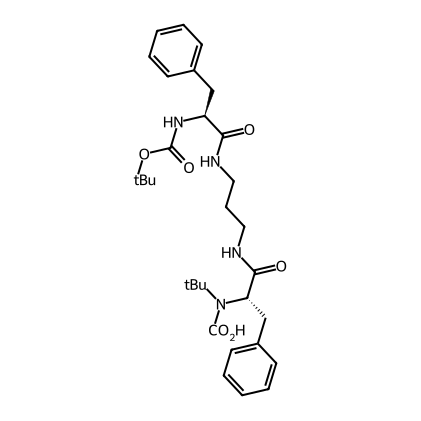 CC(C)(C)OC(=O)N[C@@H](Cc1ccccc1)C(=O)NCCCNC(=O)[C@H](Cc1ccccc1)N(C(=O)O)C(C)(C)C